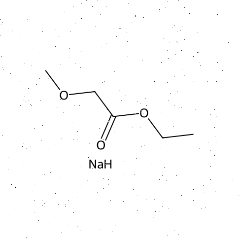 CCOC(=O)COC.[NaH]